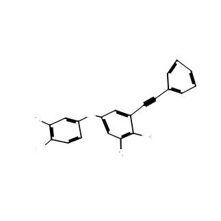 Nc1cc(Oc2cc(N)c(O)c(C#Cc3ccccc3)c2)ccc1O